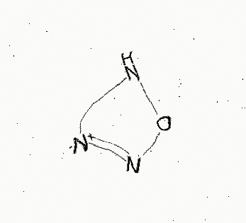 C1[N+]=NON1